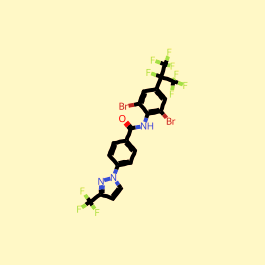 O=C(Nc1c(Br)cc(C(F)(C(F)(F)F)C(F)(F)F)cc1Br)c1ccc(-n2ccc(C(F)(F)F)n2)cc1